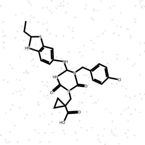 CCC1Nc2ccc(NC3NC(=O)N(CC4(C(=O)O)CC4)C(=O)N3Cc3ccc(Cl)cc3)cc2S1